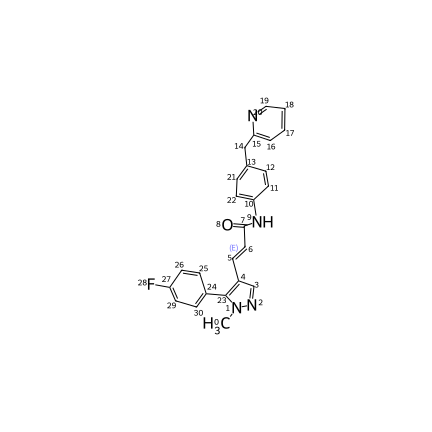 Cn1ncc(/C=C/C(=O)Nc2ccc(Cc3ccccn3)cc2)c1-c1ccc(F)cc1